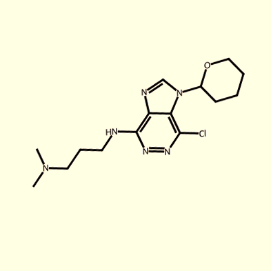 CN(C)CCCNc1nnc(Cl)c2c1ncn2C1CCCCO1